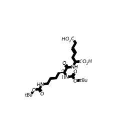 CC(C)(C)OC(=O)NCCCC[C@H](NC(=O)OC(C)(C)C)C(=O)NC(CC=CCC(=O)O)C(=O)O